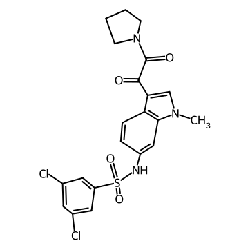 Cn1cc(C(=O)C(=O)N2CCCC2)c2ccc(NS(=O)(=O)c3cc(Cl)cc(Cl)c3)cc21